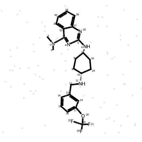 CN(C)c1nc(N[C@H]2CC[C@@H](NCc3cccc(OC(F)(F)F)c3)CC2)nc2ccccc12